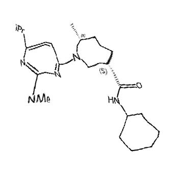 CNc1nc(C(C)C)cc(N2C[C@@H](C(=O)NC3CCCCC3)CC[C@H]2C)n1